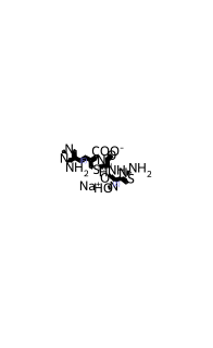 Nc1nc(/C(=N/O)C(=O)N[C@@H]2C(=O)N3C(C(=O)[O-])=C(/C=C/c4cncnc4N)CS[C@@H]23)cs1.[Na+]